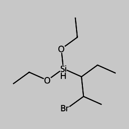 CCO[SiH](OCC)C(CC)C(C)Br